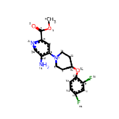 COC(=O)c1cc(N2CCC(Oc3ccc(F)cc3F)CC2)c(N)cn1